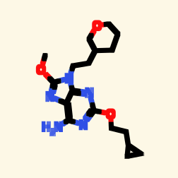 COc1nc2c(N)nc(OCCC3CC3)nc2n1CCC1CCCOC1